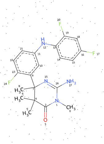 CN1C(=O)C(C)(C)C(C)(c2cc(Nc3ccc(F)cc3F)ccc2F)N=C1N